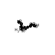 CCN(C[C@H]1CCC(c2ccc3c(C4CCC(=O)NC4=O)noc3c2)C1)[C@@H]1CCC1Nc1nc(N2CCC[C@@H](N3CCN(C)C3=O)C2)cnc1C(N)=O